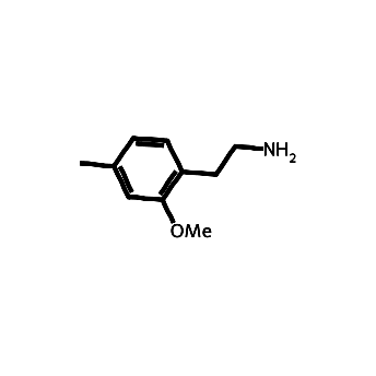 COc1cc(C)ccc1CCN